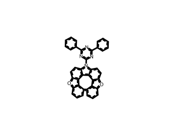 c1ccc(-c2nc(-c3ccccc3)nc(-n3c4ccc5oc6cccc7c8cccc9oc%10ccc3c(c%10c98)c4c5c67)n2)cc1